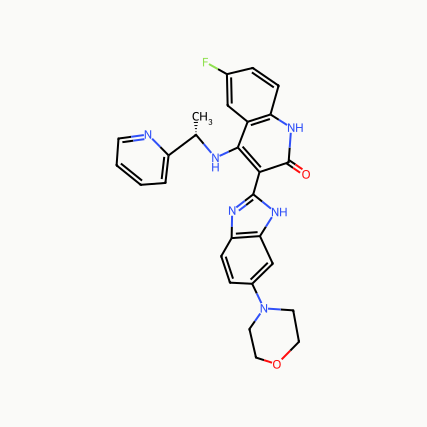 C[C@H](Nc1c(-c2nc3ccc(N4CCOCC4)cc3[nH]2)c(=O)[nH]c2ccc(F)cc12)c1ccccn1